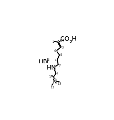 Br.CC(=CCCCCNCCN(C)C)C(=O)O